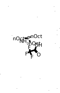 CCCCCCCCP(CCCCCCCC)CCCCCCCC.N.O=C(O)C(F)(F)F